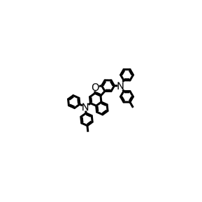 Cc1ccc(N(c2ccccc2)c2ccc3oc4cc(N(c5ccccc5)c5ccc(C)cc5)c5ccccc5c4c3c2)cc1